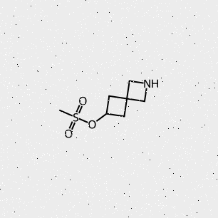 CS(=O)(=O)OC1CC2(CNC2)C1